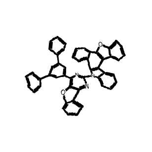 c1ccc(-c2cc(-c3ccccc3)cc(-c3nc(-n4c5ccccc5c5c6c7ccccc7oc6c6ccccc6c54)nc4c3oc3ccccc34)c2)cc1